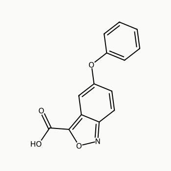 O=C(O)c1onc2ccc(Oc3ccccc3)cc12